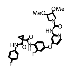 COC1CN(C(=O)Nc2cc(Oc3ccc(NC(=O)C4(C(=O)Nc5ccc(F)cc5)CC4)c(F)c3)ccn2)CC1OC